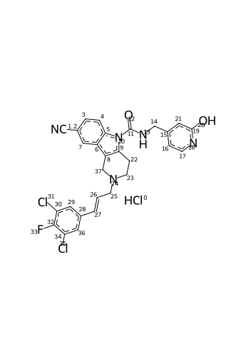 Cl.N#Cc1ccc2c(c1)c1c(n2C(=O)NCc2ccnc(O)c2)CCN(C/C=C/c2cc(Cl)c(F)c(Cl)c2)C1